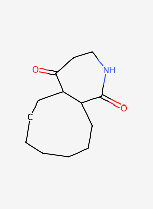 O=C1CCNC(=O)C2CCCCCCCC12